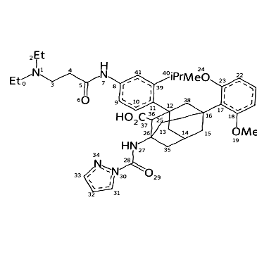 CCN(CC)CCC(=O)Nc1ccc(C23CC4CC(c5c(OC)cccc5OC)(CC(NC(=O)n5cccn5)(C4)C2C(=O)O)C3)c(C(C)C)c1